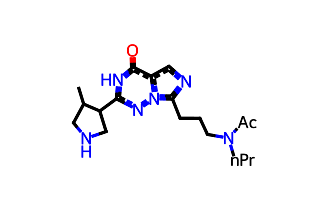 CCCN(CCCc1ncc2c(=O)[nH]c(C3CNCC3C)nn12)C(C)=O